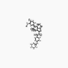 O=C(Nc1ccc(CN2CCCCC2)cc1)c1sc2ncnc3c2c1NC(=O)N3c1ccc(F)c(CI)c1